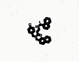 C[C@@H](NCCC(=O)N(Cc1ccc(Cl)cc1)Cc1ccc2ccccc2c1)c1cccc2ccccc12